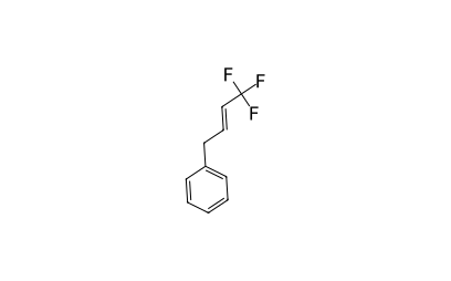 FC(F)(F)C=CCc1ccccc1